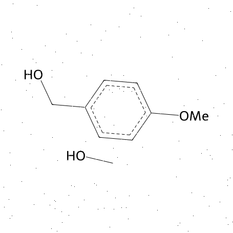 CO.COc1ccc(CO)cc1